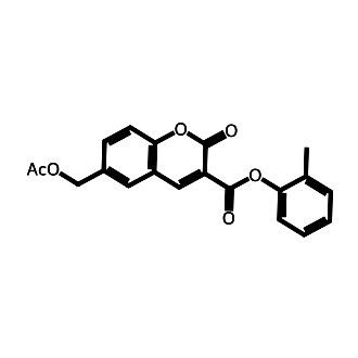 CC(=O)OCc1ccc2oc(=O)c(C(=O)Oc3ccccc3C)cc2c1